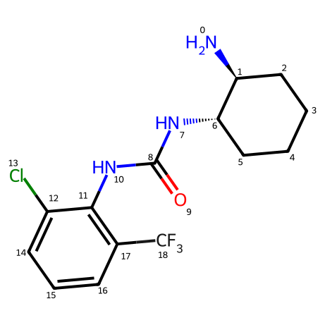 N[C@H]1CCCC[C@@H]1NC(=O)Nc1c(Cl)cccc1C(F)(F)F